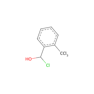 OC(Cl)c1ccccc1C(Cl)(Cl)Cl